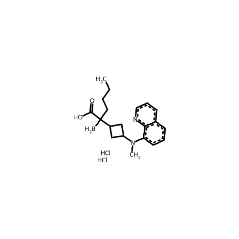 BC(CCCC)(C(=O)O)C1CC(N(C)c2cccc3cccnc23)C1.Cl.Cl